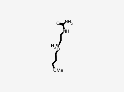 COCCCO[SiH2]CCNC(N)=O